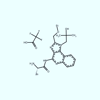 CCOCc1nc2c(NC(=O)[C@@H](N)C(C)C)nc3ccccc3c2n1CC(C)(C)O.O=C(O)C(F)(F)F